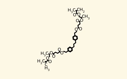 C=C(C)C(=O)OCC(C)OC(=O)CCC(=O)OCCc1ccc(CCCc2ccc(CCOC(=O)CCC(=O)OC(C)COC(=O)C(=C)C)cc2)cc1